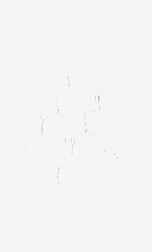 CCCCCCCCCCCCNC(=O)CC(C(=O)[O-])S(=O)(=O)O.CCCCCCCCCCCCNC(=O)CC(C(=O)[O-])S(=O)(=O)O.[Na+].[Na+]